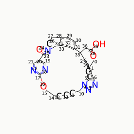 Cc1c2ccc3c1nnn3CCCCCCOc1ncc(cn1)C(=O)N1CCc3ccc(cc3C1)C2CC(=O)O